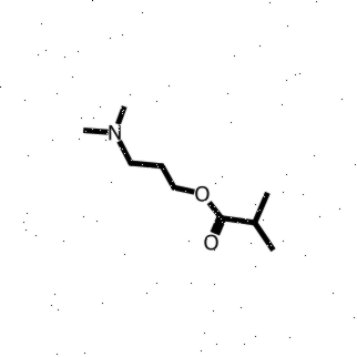 CC(C)C(=O)OCCCN(C)C